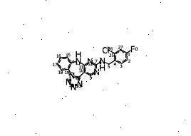 Fc1ccc(CNc2ncc3c(n2)Nc2ccccc2-n2nnnc2-3)c(Cl)c1